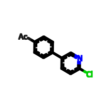 CC(=O)c1ccc(-c2ccc(Cl)nc2)cc1